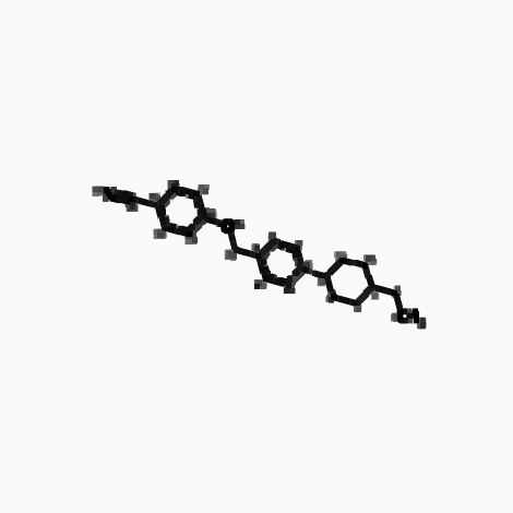 CCC1CCC(c2ccc(COc3ccc(C#N)cc3)cc2)CC1